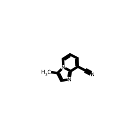 Cc1cnc2c(C#N)cccn12